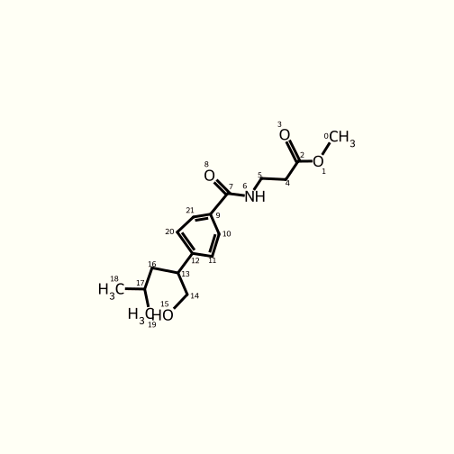 COC(=O)CCNC(=O)c1ccc(C(CO)CC(C)C)cc1